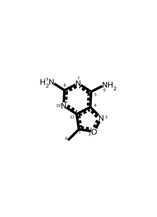 Cc1onc2c(N)nc(N)nc12